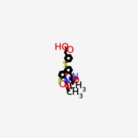 CCOC(=O)N(c1ccccc1F)c1c(-c2ccc(Sc3cccc(CC(=O)O)c3)cc2)noc1C